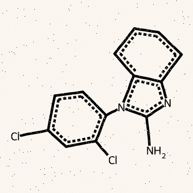 Nc1nc2ccccc2n1-c1ccc(Cl)cc1Cl